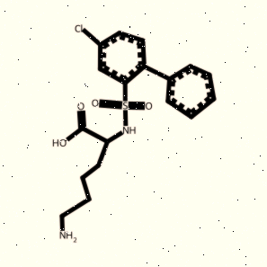 NCCCCC(NS(=O)(=O)c1cc(Cl)ccc1-c1ccccc1)C(=O)O